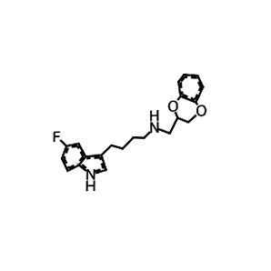 Fc1ccc2[nH]cc(CCCCNCC3COc4ccccc4O3)c2c1